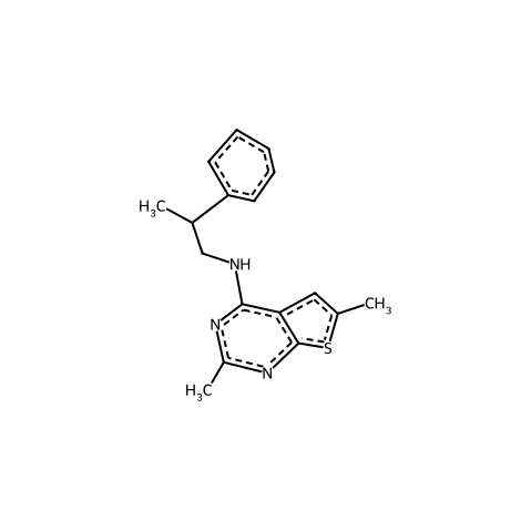 Cc1nc(NCC(C)c2ccccc2)c2cc(C)sc2n1